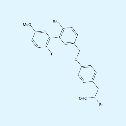 CC[C@H](C=O)Cc1ccc(OCc2ccc(C(C)(C)C)c(-c3cc(OC)ccc3F)c2)cc1